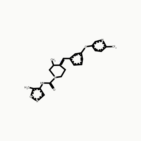 Cc1oncc1NC(=O)N1CC/C(=C\c2cccc(Oc3ccc(C(F)(F)F)nc3)c2)C(C)C1